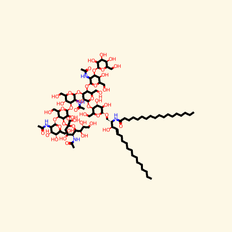 CCCCCCCCCCCCC/C=C/[C@@H](O)[C@H](CO[C@@H]1OC(CO)[C@@H](O[C@@H]2OC(CO)[C@H](O[C@@H]3OC(CO)[C@H](O)[C@H](O[C@@H]4OC(CO)[C@H](O)[C@H](O)C4O)C3NC(C)=O)[C@H](O[C@@H]3OC(CO)[C@@H](O)[C@H](O[C@@H]4OC(CO)[C@H](O[C@@H]5OC(CO)[C@H](O)[C@H](O)C5NC(C)=O)[C@H](O[C@]5(C(=O)O)CC(O)[C@@H](NC(C)=O)C([C@H](O)[C@H](O)CO)O5)C4O)C3NC(C)=O)C2O)[C@H](O)C1O)NC(=O)CCCCCCCCCCCCCCCCC